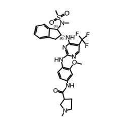 COc1cc(NC(=O)C2CCN(C)C2)ccc1Nc1ncc(C(F)(F)F)c(N[C@@H]2Cc3ccccc3[C@H]2N(C)S(C)(=O)=O)n1